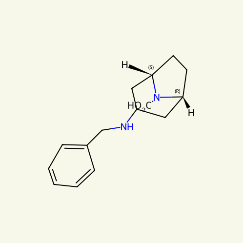 O=C(O)N1[C@@H]2CC[C@H]1CC(NCc1ccccc1)C2